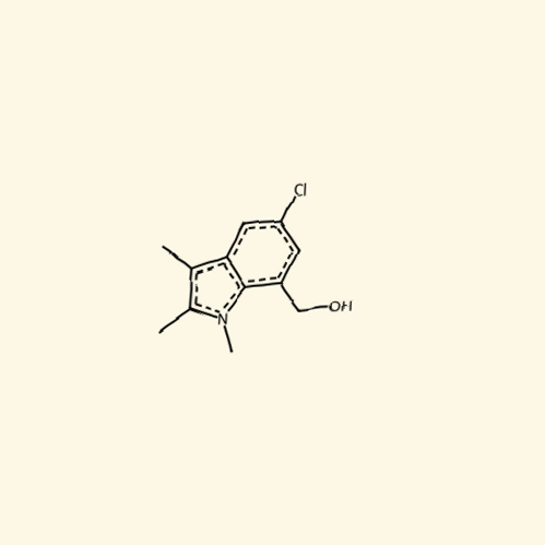 Cc1c(C)n(C)c2c(CO)cc(Cl)cc12